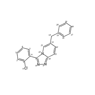 Clc1ccccc1-c1nnc2ccc(Cc3ccccc3)cn12